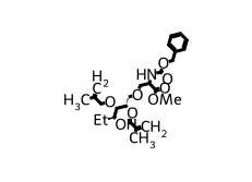 C=C(C)CO[C@H]([C@H](COCC(NC(=O)OCc1ccccc1)C(=O)OC)OCC(=C)C)[C@@H](O)CC